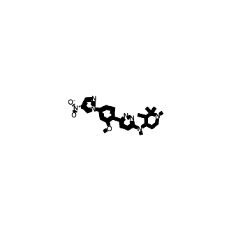 COc1cc(-n2cc([N+](=O)[O-])cn2)ccc1-c1ccc(N(C)C2CCN(C)C(C)(C)C2C)nn1